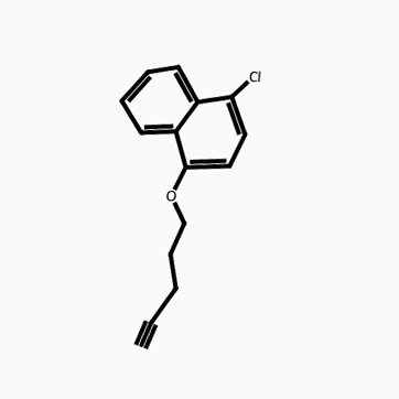 C#CCCCOc1ccc(Cl)c2ccccc12